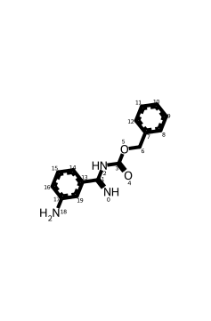 N=C(NC(=O)OCc1ccccc1)c1cccc(N)c1